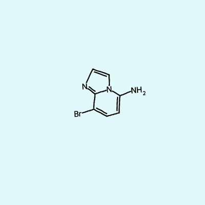 Nc1ccc(Br)c2nccn12